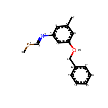 CS/C=N/c1cc(C)cc(OCc2ccccc2)c1